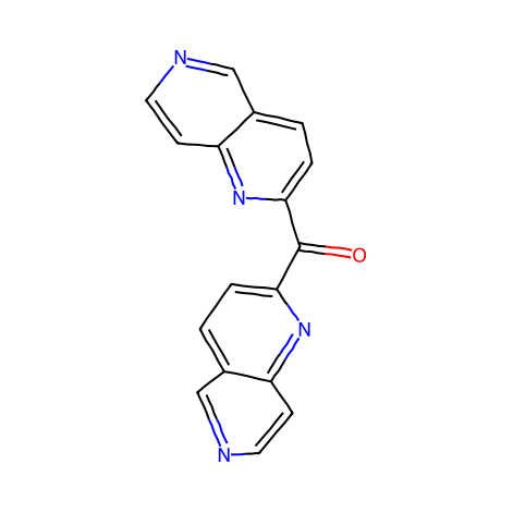 O=C(c1ccc2cnccc2n1)c1ccc2cnccc2n1